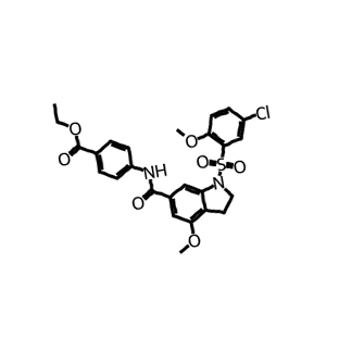 CCOC(=O)c1ccc(NC(=O)c2cc(OC)c3c(c2)N(S(=O)(=O)c2cc(Cl)ccc2OC)CC3)cc1